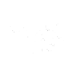 CCOc1cc(-c2cccnc2)ccc1-c1nc(NN)c(N)c(=O)[nH]1